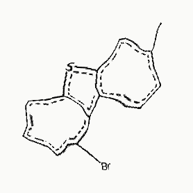 Cc1ccc2c(c1)sc1cccc(Br)c12